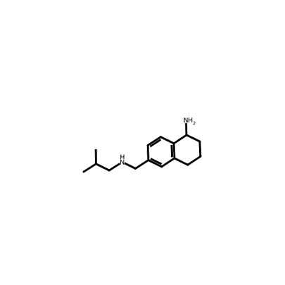 CC(C)CNCc1ccc2c(c1)CCCC2N